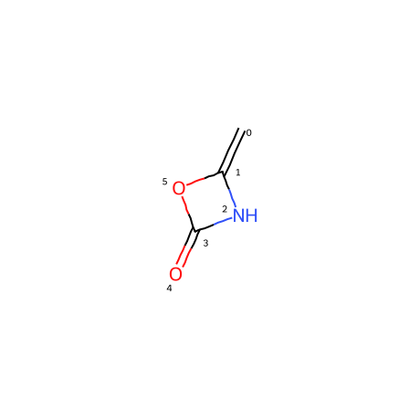 C=C1NC(=O)O1